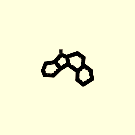 c1ccc2c(c1)ccc1[pH]c3ccccc3c12